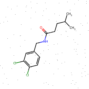 CC(C)CCC(=O)NCc1ccc(Cl)c(Cl)c1